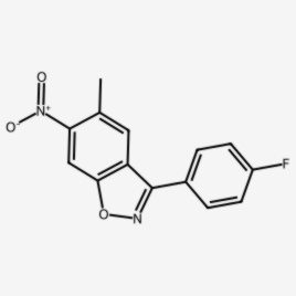 Cc1cc2c(-c3ccc(F)cc3)noc2cc1[N+](=O)[O-]